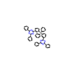 c1ccc(-c2nc(-c3ccccc3)nc(-c3cccc([Si](c4ccccc4)(c4ccccc4)c4cccc(-c5nc(-c6ccccc6)nc(-c6ccccc6)n5)c4)c3)n2)cc1